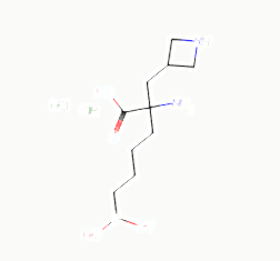 Cl.Cl.NC(CCCCB(O)O)(CC1CNC1)C(=O)O